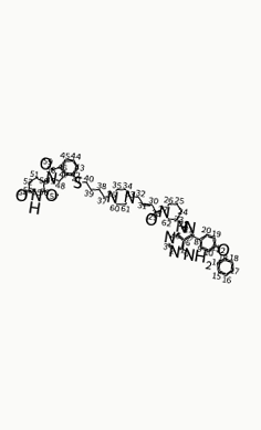 Nc1ncnc2c1c(-c1ccc(Oc3ccccc3)cc1)nn2[C@@H]1CCCN(C(=O)/C=C/CN2CCN(CCCCSc3cccc4c3CN(C3CCC(=O)NC3=O)C4=O)CC2)C1